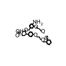 COCCCOc1cc(COC2CN(C(=O)O)CCC2c2ccc(OCCCOCc3ccccc3OC)cc2)ccc1N